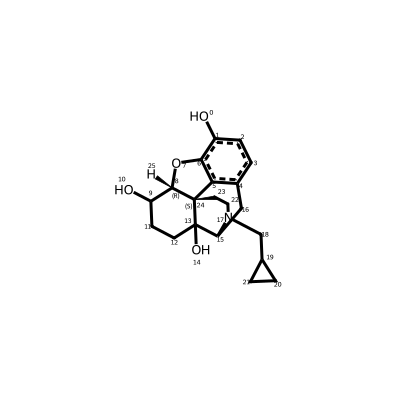 Oc1ccc2c3c1O[C@H]1C(O)CCC4(O)C(C2)N(CC2CC2)CC[C@]314